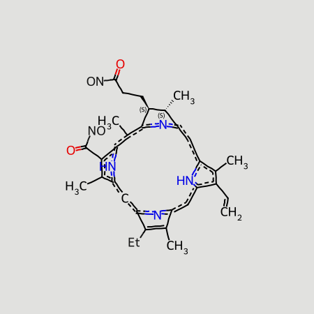 C=Cc1c(C)c2cc3nc(c(C)c4[nH]c(cc5nc(cc1[nH]2)C(C)=C5CC)c(C)c4C(=O)N=O)[C@@H](CCC(=O)N=O)[C@@H]3C